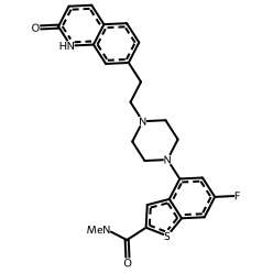 CNC(=O)c1cc2c(N3CCN(CCc4ccc5ccc(=O)[nH]c5c4)CC3)cc(F)cc2s1